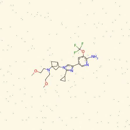 COCCN(CCOC)C12CC(C1)C(n1cc(-c3cnc(N)c(OC(F)(F)F)c3)nc1C1CC1)C2